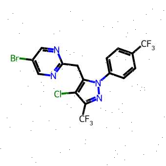 FC(F)(F)c1ccc(-n2nc(C(F)(F)F)c(Cl)c2Cc2ncc(Br)cn2)cc1